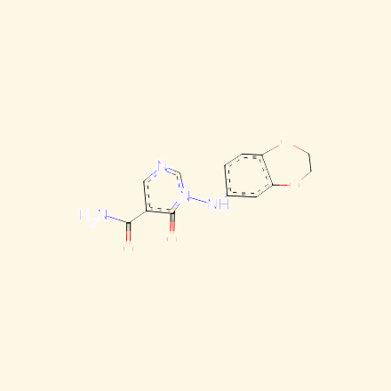 NC(=O)c1cncn(Nc2ccc3c(c2)OCCO3)c1=O